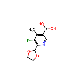 Cc1c(B(O)O)cnc(C2OCCO2)c1F